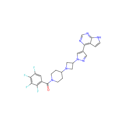 O=C(c1cc(F)c(F)c(F)c1F)N1CCC(N2C[C](n3cc(-c4ncnc5[nH]ccc45)cn3)C2)CC1